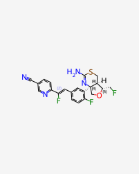 N#Cc1ccc(/C(F)=C/c2ccc(F)c([C@@]34CO[C@@H](CF)[C@@H]3CSC(N)=N4)c2)nc1